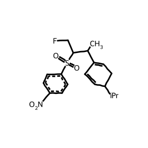 CC(C)C1C=CC(C(C)C(CF)S(=O)(=O)c2ccc([N+](=O)[O-])cc2)=CC1